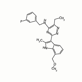 CCc1nnc(-c2c(C)[nH]c3c(COC)cccc23)nc1NCc1cccc(F)c1